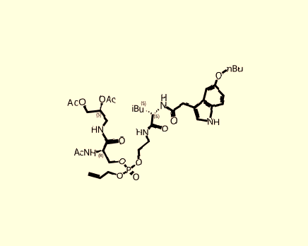 C=CCOP(=O)(OCCNC(=O)[C@@H](NC(=O)Cc1c[nH]c2ccc(OCCCC)cc12)[C@@H](C)CC)OC[C@@H](NC(C)=O)C(=O)NC[C@@H](COC(C)=O)OC(C)=O